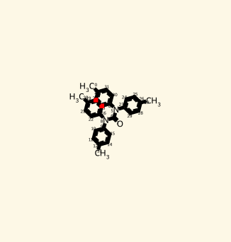 Cc1ccc(N(C(=O)N(c2ccc(C)cc2)c2ccc(C)cc2)c2ccc(C)cc2)cc1